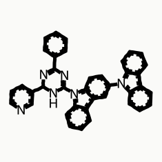 c1ccc(C2=NC(c3cccnc3)NC(n3c4ccccc4c4cc(-n5c6ccccc6c6ccccc65)ccc43)=N2)cc1